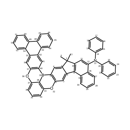 CC1(C)c2cc3c(cc2-c2c1cc(N(c1ccccc1)c1ccccc1)c1ccccc21)Oc1cccc2c1B3c1cc3c4ccccc4c4ccccc4c3cc1O2